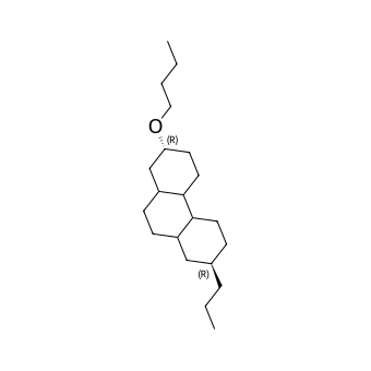 CCCCO[C@@H]1CCC2C(CCC3C[C@H](CCC)CCC32)C1